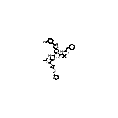 CCC[C@H](NC(=O)[C@@H]1C[C@]2(CC(c3cccc(Cl)c3)=NO2)CN1C(=O)[C@@H](NC(=O)CC1CCCCC1)C(C)(C)C)C(=O)C(=O)N1CC(OC[C@H]2CCCO2)C1